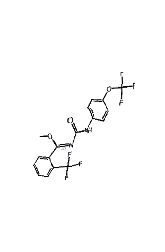 CO/C(=N\C(=O)Nc1ccc(OC(F)(F)F)cc1)c1ccccc1C(F)(F)F